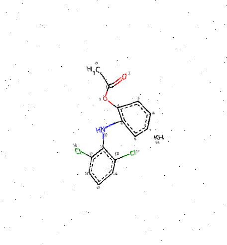 CC(=O)Oc1ccccc1Nc1c(Cl)cccc1Cl.[KH]